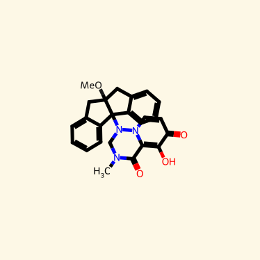 COC12Cc3ccccc3C1(N1CN(C)C(=O)c3c(O)c(=O)ccn31)c1ccccc1C2